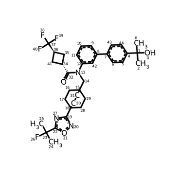 CC(C)(O)c1ccc(-c2cccc(N(CC34CCC(c5noc(C(C)(C)F)n5)(CC3)CC4)C(=O)[C@H]3C[C@H](C(F)(F)F)C3)c2)cc1